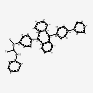 CCC(Nc1ccccc1)N(C)c1ccc(-c2c3ccccc3c(-c3ccc(-c4ccccc4)cc3)c3ccccc23)cc1